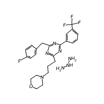 Fc1ccc(Cc2nc(CCCN3CCOCC3)nc(-c3cccc(C(F)(F)F)c3)n2)cc1.NNN